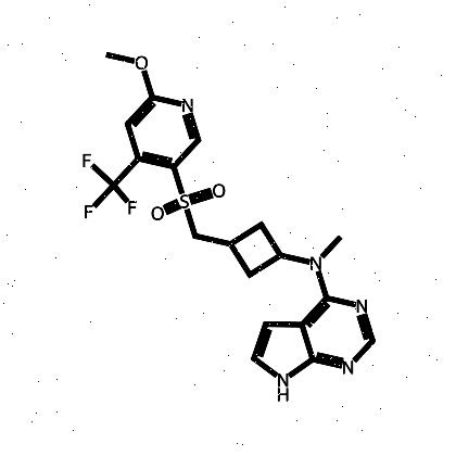 COc1cc(C(F)(F)F)c(S(=O)(=O)CC2CC(N(C)c3ncnc4[nH]ccc34)C2)cn1